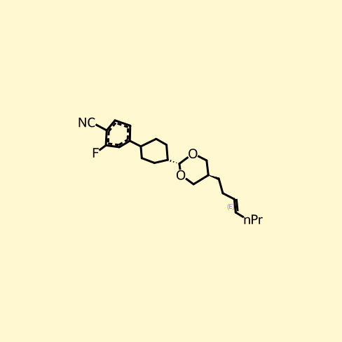 CCC/C=C/CC[C@H]1CO[C@H](C2CCC(c3ccc(C#N)c(F)c3)CC2)OC1